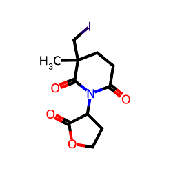 CC1(CI)CCC(=O)N(C2CCOC2=O)C1=O